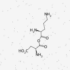 NCCC[C@H](N)C(=O)OC(=O)[C@@H](N)CC(=O)O